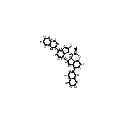 CC1=Cc2c(-c3ccc4ccccc4c3)cccc2[CH]1[Zr]([CH]1C(C)=Cc2c(-c3ccc4ccccc4c3)cccc21)[SiH](C)C